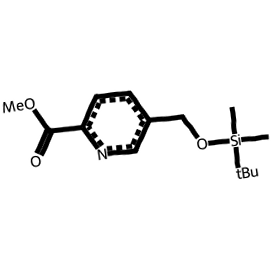 COC(=O)c1ccc(CO[Si](C)(C)C(C)(C)C)cn1